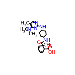 Cc1cnc(N[C@H]2CC[C@@H](NC(=O)C3(C)C=CC=CC3C(=O)O)CC2)nc1N(C)C